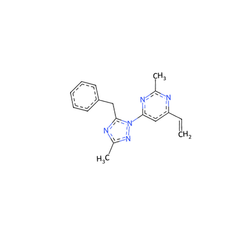 C=Cc1cc(-n2nc(C)nc2Cc2ccccc2)nc(C)n1